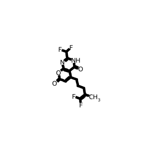 CC(CCCc1cc(=O)oc2nc(C(F)F)[nH]c(=O)c12)=C(F)F